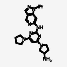 CC(C)n1ncc2cnc(Nc3nc(N4CCCC4)cc(N4CCC(N)C4)n3)cc21